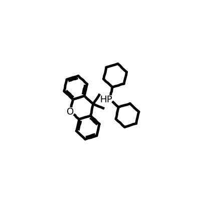 C1CCC(PC2CCCCC2)CC1.CC1(C)c2ccccc2Oc2ccccc21